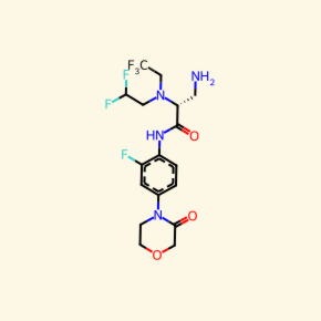 NC[C@H](C(=O)Nc1ccc(N2CCOCC2=O)cc1F)N(CC(F)F)CC(F)(F)F